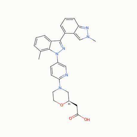 Cc1cccc2c(-c3cccc4nn(C)cc34)nn(-c3ccc(N4CCO[C@H](CC(=O)O)C4)nc3)c12